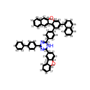 c1ccc(-c2ccc(C3=NC(c4ccc5oc6ccccc6c5c4)NC(c4ccc(-c5cc(-c6cccc7ccccc67)cc6oc7cc8ccccc8cc7c56)cc4)=N3)cc2)cc1